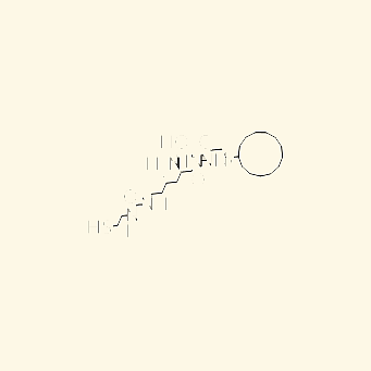 NC(CCCCNC(=O)NCCS)C(=O)NNC(CSC1CCCCCCCCCCCC1)C(=O)O